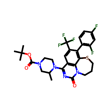 CC1CN(C(=O)OC(C)(C)C)CCN1c1nc(=O)n2c3c(c(-c4ccc(F)cc4F)c(C(F)(F)F)cc13)SCCC2